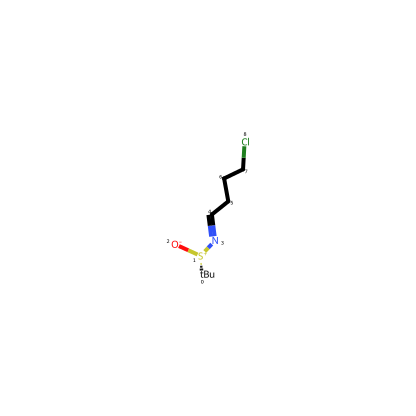 CC(C)(C)[S@+]([O-])N=CCCCCl